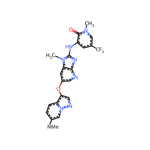 CNc1ccc2c(Oc3cnc4nc(Nc5cc(C(F)(F)F)cn(C)c5=O)n(C)c4c3)cnn2c1